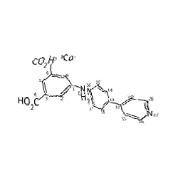 Nc1cc(C(=O)O)cc(C(=O)O)c1.[Co].c1cc(-c2ccncc2)ccn1